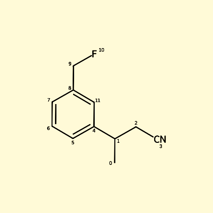 CC(CC#N)c1cccc(CF)c1